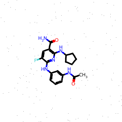 CC(=O)Nc1cccc(Nc2nc(NC3CCCC3)c(C(N)=O)cc2F)c1